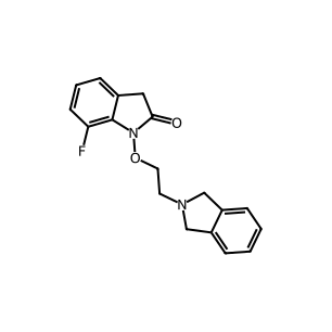 O=C1Cc2cccc(F)c2N1OCCN1Cc2ccccc2C1